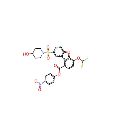 O=C(Oc1ccc([N+](=O)[O-])cc1)c1ccc(OC(F)F)c2oc3ccc(S(=O)(=O)N4CCC(O)CC4)cc3c12